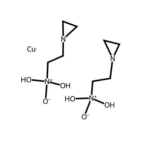 [Cu].[O-][N+](O)(O)CCN1CC1.[O-][N+](O)(O)CCN1CC1